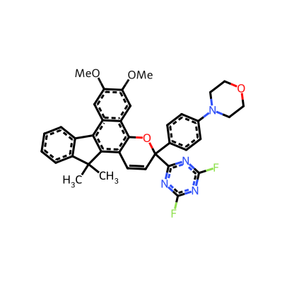 COc1cc2c3c(c4c(c2cc1OC)-c1ccccc1C4(C)C)C=CC(c1ccc(N2CCOCC2)cc1)(c1nc(F)nc(F)n1)O3